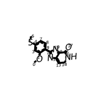 COc1cc(SC)ccc1C1=NC2=CCNC(=O)C2=N1